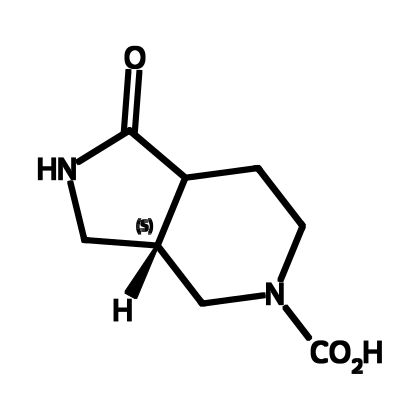 O=C1NC[C@H]2CN(C(=O)O)CCC12